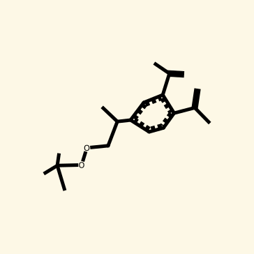 C=C(C)c1ccc(C(C)COOC(C)(C)C)cc1C(=C)C